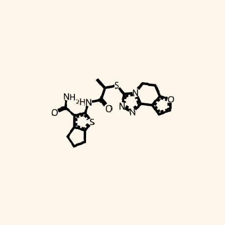 CC(Sc1nnc2n1CCc1occc1-2)C(=O)Nc1sc2c(c1C(N)=O)CCC2